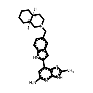 Cc1nc2c(-c3cc4cc(CN5CC[C@@H]6CCCC[C@@H]6C5)ccc4[nH]3)cc(N)nc2[nH]1